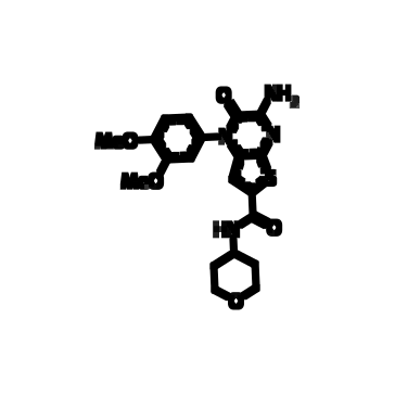 COc1ccc(-n2c(=O)c(N)nc3sc(C(=O)NC4CCOCC4)cc32)cc1OC